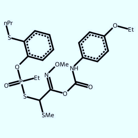 CCCSc1ccccc1OP(=O)(CC)SC(SC)C(=NOC)OC(=O)Nc1ccc(OCC)cc1